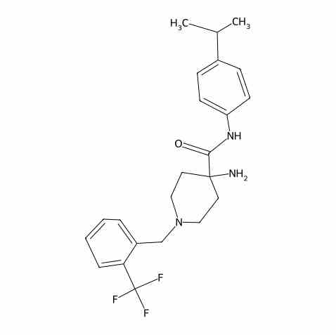 CC(C)c1ccc(NC(=O)C2(N)CCN(Cc3ccccc3C(F)(F)F)CC2)cc1